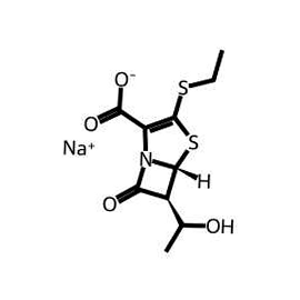 CCSC1=C(C(=O)[O-])N2C(=O)[C@H](C(C)O)[C@H]2S1.[Na+]